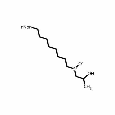 CCCCCCCCCCCCCCCCC[S+]([O-])CC(C)O